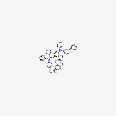 Cc1ccccc1-c1cc(N(c2ccccc2)c2cc3c4ccccc4c(N(c4ccccc4)c4ccc5sc6ccccc6c5c4)cc3c3ccccc23)ccc1C